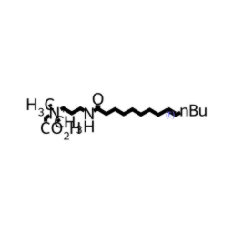 CCCC/C=C/CCCCCCCC(=O)NCCC[N+](C)(C)CC(=O)O